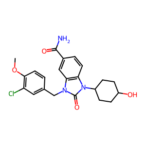 COc1ccc(Cn2c(=O)n(C3CCC(O)CC3)c3ccc(C(N)=O)cc32)cc1Cl